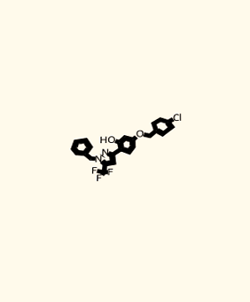 Oc1cc(OCC2=CC=C(Cl)CC2)ccc1-c1cc(C(F)(F)F)n(Cc2ccccc2)n1